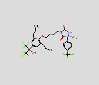 CCCc1cc(C(O)(C(F)(F)F)C(F)(F)F)cc(CCC)c1OCCCCN1C(=O)NC(C)(c2ccc(C(F)(F)F)cc2)C1=O